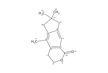 Cc1c2c(cc3c1CCOC3=O)CC(C)(C)C2